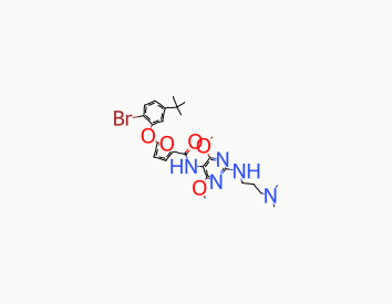 COc1nc(NCCCN(C)C)nc(OC)c1NC(=O)c1ccc(Oc2cc(C(C)(C)C)ccc2Br)o1